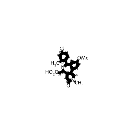 COc1ccc2c(c1)C(c1ccc(Cl)cc1C)=NC(CC(=O)O)c1cc(=O)n(C)cc1-2